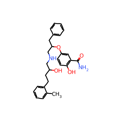 Cc1ccccc1CCC(O)CNCC(Cc1ccccc1)Oc1ccc(O)c(C(N)=O)c1